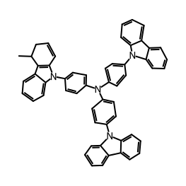 CC1CC=Cc2c1c1ccccc1n2-c1ccc(N(c2ccc(-n3c4ccccc4c4ccccc43)cc2)c2ccc(-n3c4ccccc4c4ccccc43)cc2)cc1